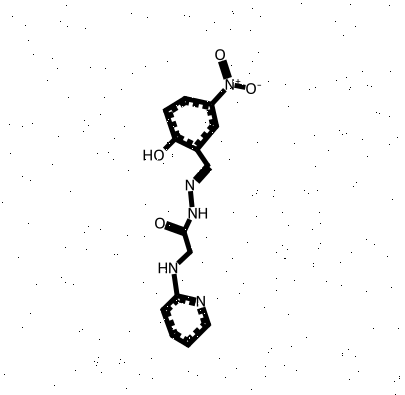 O=C(CNc1ccccn1)N/N=C/c1cc([N+](=O)[O-])ccc1O